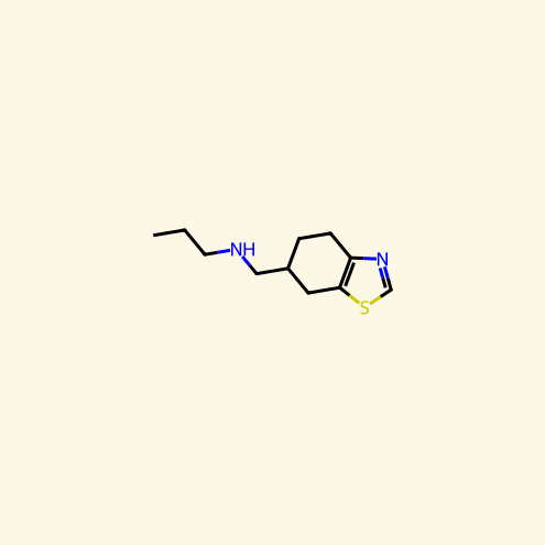 CCCNCC1CCc2ncsc2C1